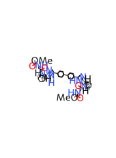 COC(=O)NCC(=O)N1[C@@H]2CCC[C@@H](C2)[C@H]1c1ncc(-c2ccc(-c3ccc(-c4cnc([C@@H]5[C@H]6CC[C@H](C6)N5C(=O)CNC(=O)OC)[nH]4)cc3)cc2)[nH]1